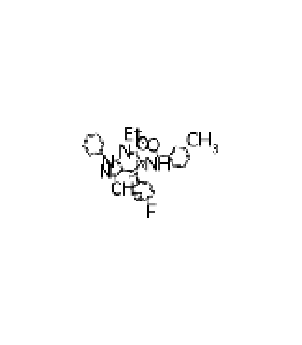 CCOC1=Nc2c(c(C)nn2-c2ccccc2)[C@H](c2ccc(F)cc2)[C@@H]1NC(=O)c1cccc(C)c1